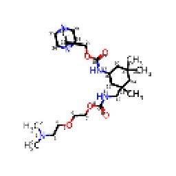 CN(C)CCOCCOC(=O)NCC1(C)CC(NC(=O)OCC2CN3CCN2CC3)CC(C)(C)C1